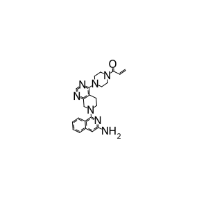 C=CC(=O)N1CCN(c2ncnc3c2CCN(c2nc(N)cc4ccccc24)C3)CC1